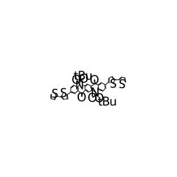 CC(C)(C)OC(=O)n1c2ccc(-c3ccc(-c4cccs4)s3)cc2c(=O)c2cc3c(cc21)c(=O)c1cc(-c2ccc(-c4cccs4)s2)ccc1n3C(=O)OC(C)(C)C